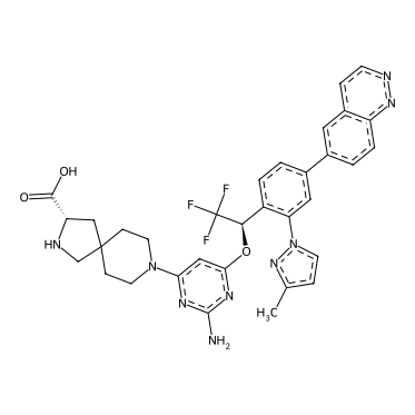 Cc1ccn(-c2cc(-c3ccc4nnccc4c3)ccc2[C@@H](Oc2cc(N3CCC4(CC3)CN[C@H](C(=O)O)C4)nc(N)n2)C(F)(F)F)n1